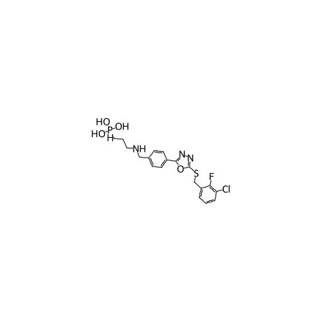 O[PH](O)(O)CCCNCc1ccc(-c2nnc(SCc3cccc(Cl)c3F)o2)cc1